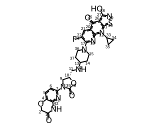 O=C1COc2ccc(N3C[C@H](CNC4CCN(c5nc6c(cc5F)c(=O)c5c(O)nsc5n6C5CC5)CC4)OC3=O)nc2N1